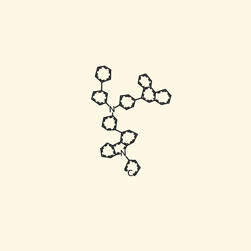 c1ccc(-c2cccc(N(c3ccc(-c4cc5ccccc5c5ccccc45)cc3)c3cccc(-c4cccc5c4c4ccccc4n5-c4ccccc4)c3)c2)cc1